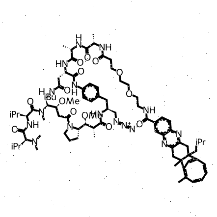 CC[C@H](C)[C@@H]([C@@H](CC(=O)N1CCC[C@H]1[C@H](OC)[C@@H](C)C(=O)N[C@H](CN=[N+]=[N-])Cc1ccc(NC(=O)[C@H](CC(N)=O)NC(=O)[C@H](C)NC(=O)[C@H](C)NC(=O)CCOCCOCCNC(=O)c2ccc3nc4c(nc3c2)CC2(C)/C3=C(C)/C=C\C=C/C(=C3)C2(CC(C)C)C4)cc1)OC)N(C)C(=O)[C@@H](NC(=O)[C@H](C(C)C)N(C)C)C(C)C